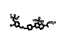 CC(CC(=O)O)c1ccc2cc(-c3ccc(CSCc4ccc(CP(=O)(OF)OF)c(Br)c4)cc3)cc(P(=O)(O)O)c2n1